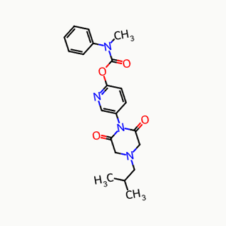 CC(C)CN1CC(=O)N(c2ccc(OC(=O)N(C)c3ccccc3)nc2)C(=O)C1